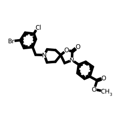 COC(=O)c1ccc(N2CC3(CCN(Cc4cc(Cl)cc(Br)c4)CC3)OC2=O)cc1